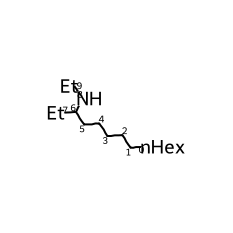 CCCCCCCCCCCC(CC)NCC